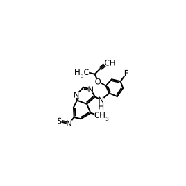 C#CC(C)Oc1cc(F)ccc1Nc1ncnc2cc(N=S)cc(C)c12